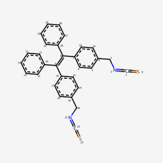 S=C=NCc1ccc(C(=C(c2ccccc2)c2ccc(CN=C=S)cc2)c2ccccc2)cc1